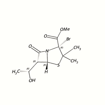 COC(=O)[C@]1(Br)N2C(=O)[C@@H]([C@@H](C)O)[C@H]2SC1(C)C